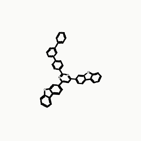 c1ccc(-c2cccc(-c3ccc(-c4nc(-c5ccc6c(c5)oc5ccccc56)cc(-c5ccc6c(c5)oc5ccccc56)n4)cc3)c2)cc1